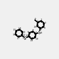 Cc1cccc(Sc2ccc(Sc3ccccc3)cc2)c1